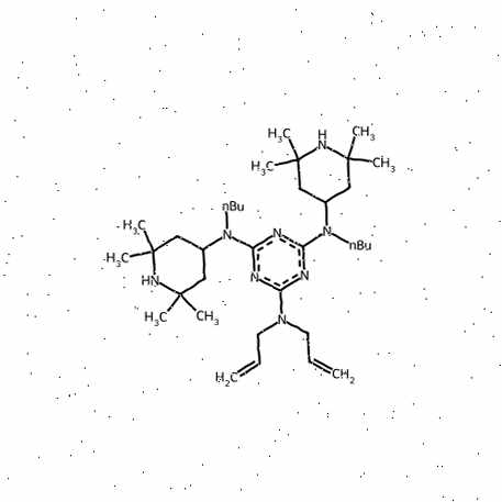 C=CCN(CC=C)c1nc(N(CCCC)C2CC(C)(C)NC(C)(C)C2)nc(N(CCCC)C2CC(C)(C)NC(C)(C)C2)n1